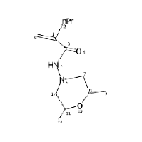 C=C(CCC)C(=O)NN1CC(C)OC(C)C1